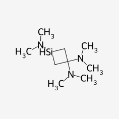 CN(C)[SiH]1CC(N(C)C)(N(C)C)C1